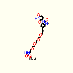 CCCCOC(=O)NCCOCCOCCOCCOCC#Cc1ccc2c(c1)n(C)c(=O)n2C1CCC(=O)NC1=O